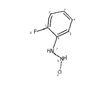 Fc1ccccc1NNCl